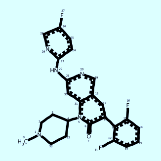 CN1CCC(n2c(=O)c(-c3c(F)cccc3F)cc3cnc(Nc4ccc(F)cn4)cc32)CC1